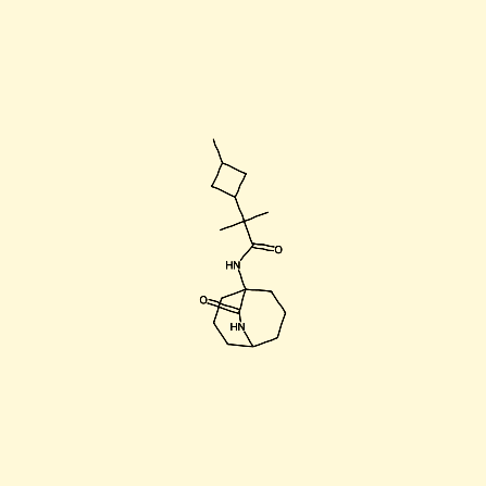 CC1CC(C(C)(C)C(=O)NC23CCCC(CCC2)NC3=O)C1